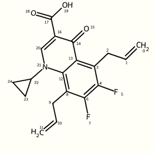 C=CCc1c(F)c(F)c(CC=C)c2c1c(=O)c(C(=O)O)cn2C1CC1